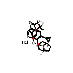 Cl.O=C(O)c1cc(C2CC2)c(CN2[C@@H]3CC[C@H]2C[C@@H](Oc2cc(C(F)(F)F)c(Cl)cn2)C3)cc1F